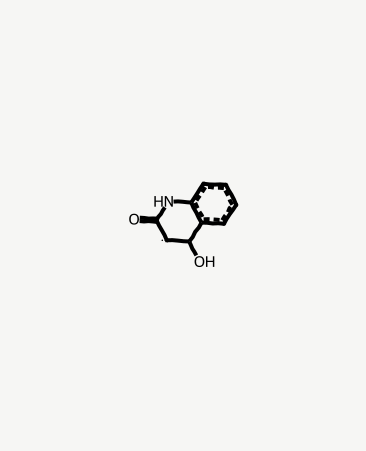 O=C1[CH]C(O)c2ccccc2N1